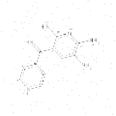 N=C(c1ccncc1)c1cc(N)c(N)nc1N